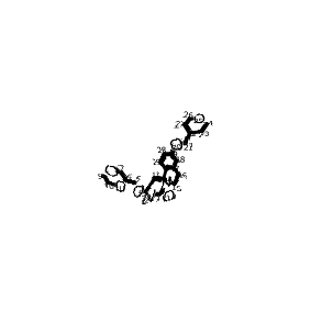 O=c1nc(OCC2COCCO2)cc2n1CCc1cc(OCC3CCOCC3)ccc1-2